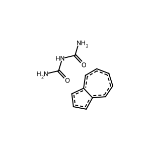 NC(=O)NC(N)=O.c1ccc2cccc-2cc1